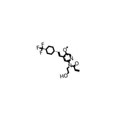 C=CC(=O)N(CCO)c1cc(/C=C/[C@H]2CC[C@H](C(F)(F)F)CC2)c(OC)cn1